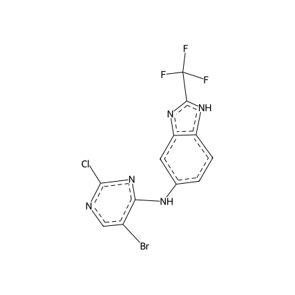 FC(F)(F)c1nc2cc(Nc3nc(Cl)ncc3Br)ccc2[nH]1